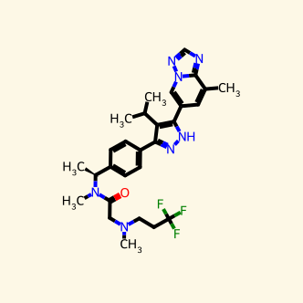 Cc1cc(-c2[nH]nc(-c3ccc([C@H](C)N(C)C(=O)CN(C)CCC(F)(F)F)cc3)c2C(C)C)cn2ncnc12